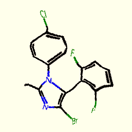 Cc1nc(Br)c(-c2c(F)cccc2F)n1-c1ccc(Cl)cc1